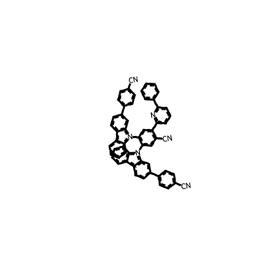 N#Cc1ccc(-c2ccc3c4ccccc4n(-c4cc(C#N)c(-c5cccc(-c6ccccc6)n5)cc4-n4c5ccccc5c5ccc(-c6ccc(C#N)cc6)cc54)c3c2)cc1